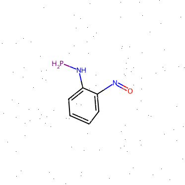 O=Nc1ccccc1NP